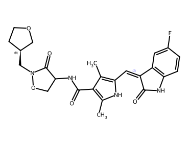 Cc1[nH]c(/C=C2\C(=O)Nc3ccc(F)cc32)c(C)c1C(=O)NC1CON(C[C@H]2CCOC2)C1=O